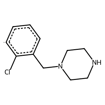 Clc1[c]cccc1CN1CCNCC1